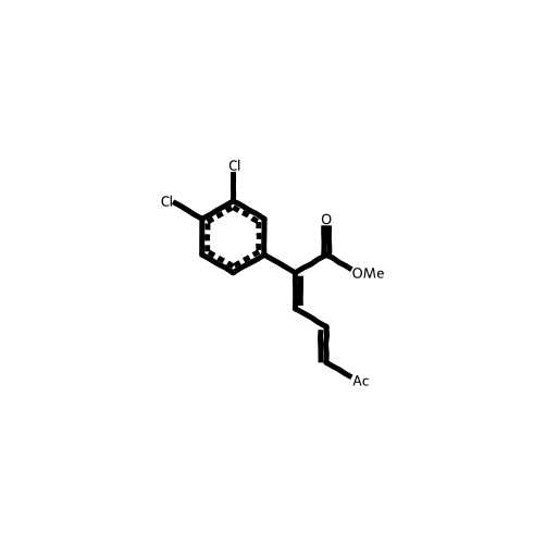 COC(=O)C(=CC=CC(C)=O)c1ccc(Cl)c(Cl)c1